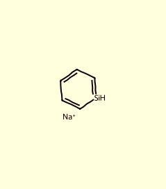 [Na+].c1cc[siH]cc1